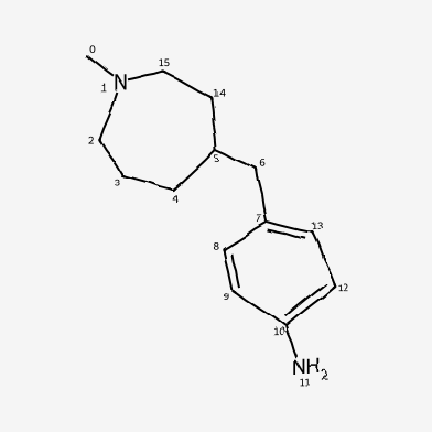 CN1CCCC(Cc2ccc(N)cc2)CC1